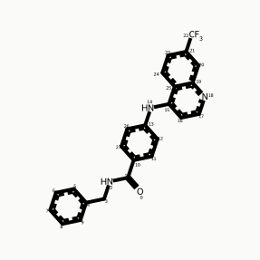 O=C(NCc1ccccc1)c1ccc(Nc2ccnc3cc(C(F)(F)F)ccc23)cc1